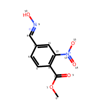 COC(=O)c1ccc(/C=N/O)cc1[N+](=O)[O-]